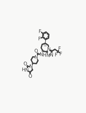 O=C1CN(C2CCN(C(=O)N[C@@H]3CC[C@@H](c4cccc(F)c4F)Cn4c(CC(F)(F)F)nnc43)CC2)C(=O)N1